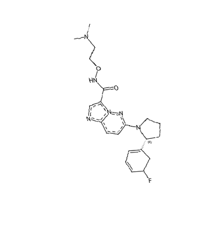 CN(C)CCONC(=O)c1cnc2ccc(N3CCC[C@@H]3C3=CC=CC(F)C3)nn12